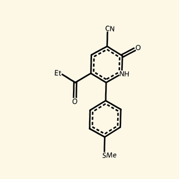 CCC(=O)c1cc(C#N)c(=O)[nH]c1-c1ccc(SC)cc1